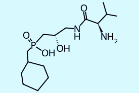 CC(C)[C@@H](N)C(=O)NC[C@H](O)CP(=O)(O)CC1CCCCC1